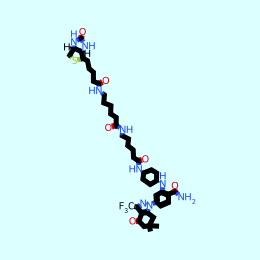 CC1(C)CC(=O)c2c(C(F)(F)F)nn(-c3ccc(C(N)=O)c(N[C@H]4CC[C@H](NC(=O)CCCCCNC(=O)CCCCCNC(=O)CCCCC5SC[C@@H]6NC(=O)N[C@H]56)CC4)c3)c2C1